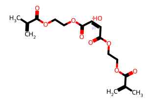 C=C(C)C(=O)OCCOC(=O)/C=C\C(=O)OCCOC(=O)C(=C)C.[OH]